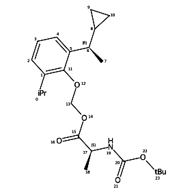 CC(C)c1cccc([C@H](C)C2CC2)c1OCOC(=O)[C@H](C)NC(=O)OC(C)(C)C